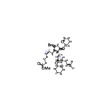 COC(=O)CCC/C=C\C[C@@H]1[C@@H](/C=C/[C@@H](OC2CCCCO2)C(C)(C)CC=C(C)C)[C@H](OC2CCCCO2)C[C@@H]1Br